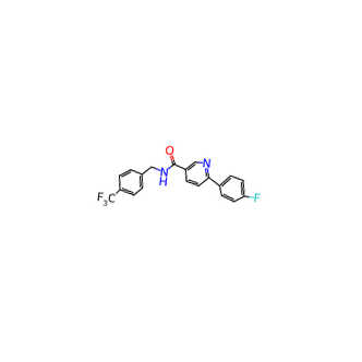 O=C(NCc1ccc(C(F)(F)F)cc1)c1ccc(-c2ccc(F)cc2)nc1